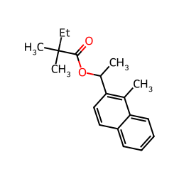 CCC(C)(C)C(=O)OC(C)c1ccc2ccccc2c1C